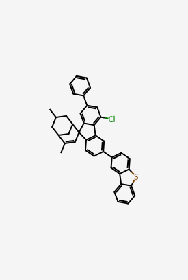 CC1=CC2(c3ccc(-c4ccc5sc6ccccc6c5c4)cc3-c3c(Cl)cc(-c4ccccc4)cc32)C2CC(C)CC1C2